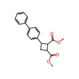 COC(=O)C1CC(c2ccc(-c3ccccc3)cc2)C1C(=O)OC